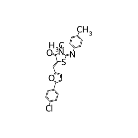 Cc1ccc(/N=C2/S/C(=C\c3ccc(-c4ccc(Cl)cc4)o3)C(=O)N2C)cc1